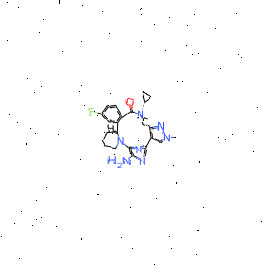 Cn1cc2c(n1)CN(C1CC1)C(=O)c1ccc(F)cc1[C@H]1CCCCN1c1nc-2cnc1N